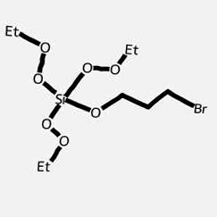 CCOO[Si](OCCCBr)(OOCC)OOCC